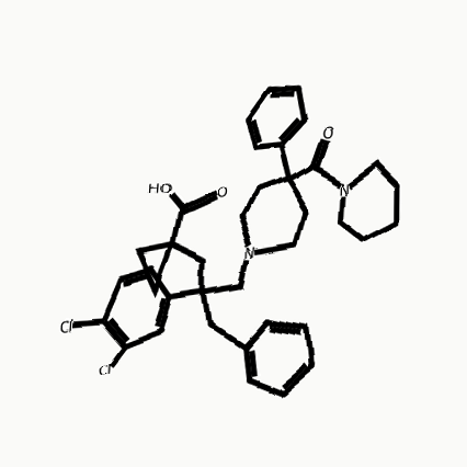 O=C(O)C1(CC(Cc2ccccc2)(CN2CCC(C(=O)N3CCCCC3)(c3ccccc3)CC2)c2ccc(Cl)c(Cl)c2)CC1